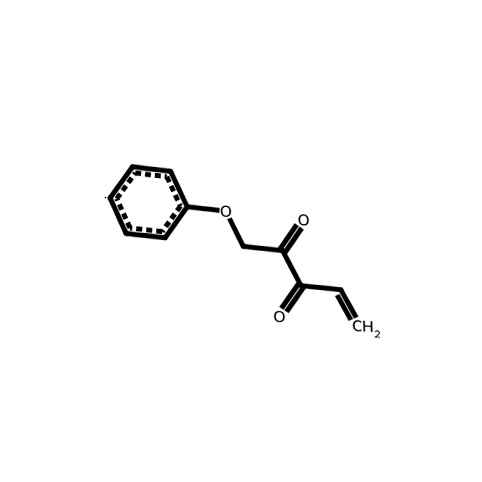 C=CC(=O)C(=O)COc1cc[c]cc1